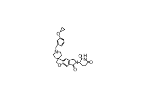 O=C1CCC(N2Cc3cc4c(cc3C2=O)OCC42CCN(Cc3cccc(OC4CC4)c3)CC2)C(=O)N1